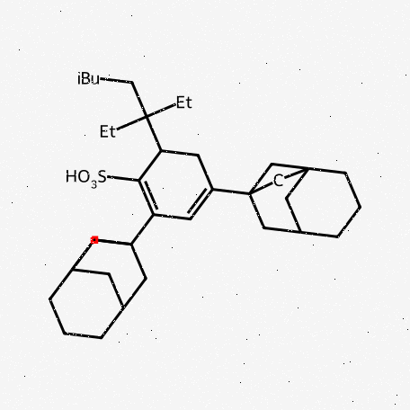 CCC(C)CC(CC)(CC)C1CC(C23CC4CCCC(C4)(C2)C3)=CC(C23CC4CCCC(C4)(C2)C3)=C1S(=O)(=O)O